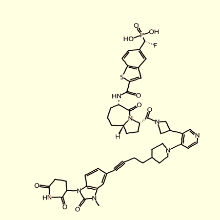 Cn1c(=O)n(C2CCC(=O)NC2=O)c2ccc(C#CCCC3CCN(c4ccncc4C4CN(C(=O)[C@@H]5CC[C@@H]6CCC[C@H](NC(=O)c7cc8cc([C@@H](F)P(=O)(O)O)ccc8s7)C(=O)N65)C4)CC3)cc21